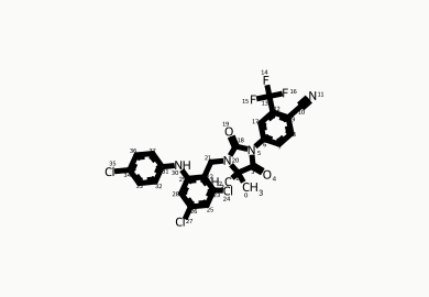 CC1(C)C(=O)N(c2ccc(C#N)c(C(F)(F)F)c2)C(=O)N1Cc1c(Cl)cc(Cl)cc1Nc1ccc(Cl)cc1